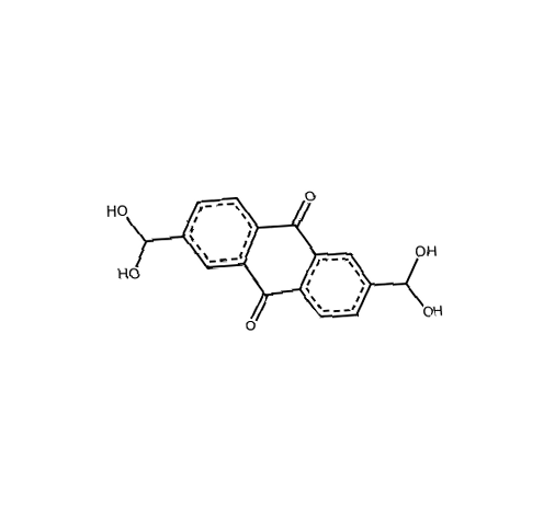 O=C1c2ccc(C(O)O)cc2C(=O)c2ccc(C(O)O)cc21